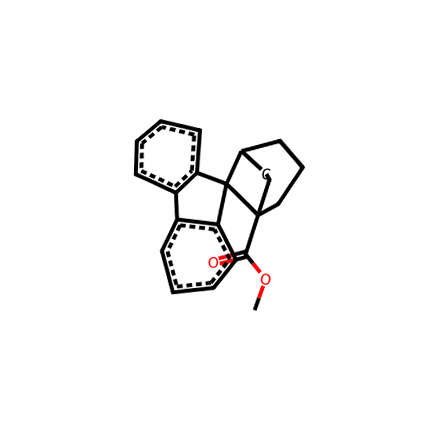 COC(=O)C12CCCC(CC1)C21c2ccccc2-c2ccccc21